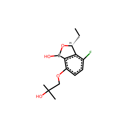 CC[C@H]1OB(O)c2c(OCC(C)(C)O)ccc(F)c21